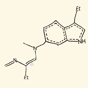 C=N/C(=C\N(C)c1ccc2c(CC)c[nH]c2c1)CC